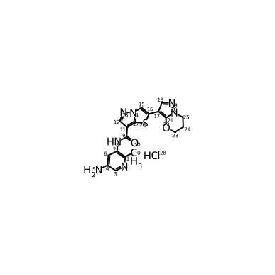 Cc1ncc(N)cc1NC(=O)c1cnn2cc(-c3cnn4c3OCCC4)sc12.Cl